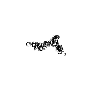 CC1(c2ccc(Cl)cc2F)Oc2cccc(C3CCN(Cc4nc5cc(-c6noc(C(F)(F)F)n6)cnc5n4CC4CCOC4)CC3)c2O1